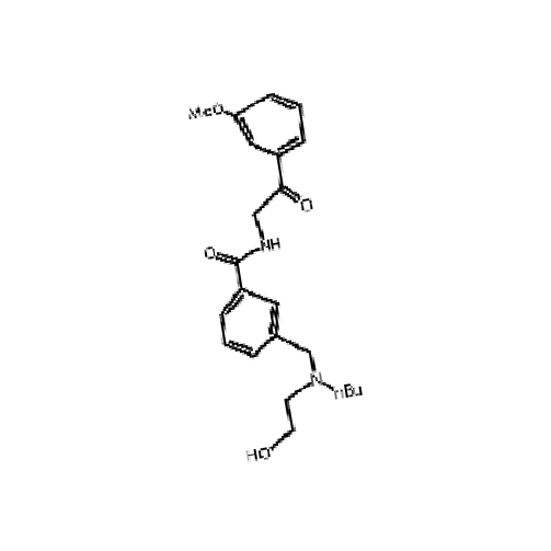 CCCCN(CCO)Cc1cccc(C(=O)NCC(=O)c2cccc(OC)c2)c1